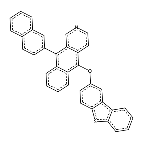 c1ccc2cc(-c3c4ccccc4c(Oc4ccc5sc6ccccc6c5c4)c4ccncc34)ccc2c1